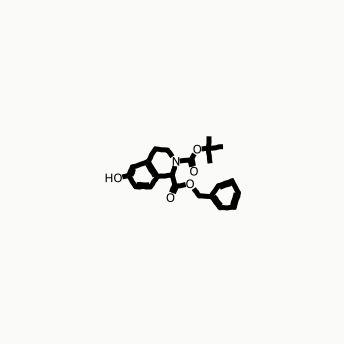 CC(C)(C)OC(=O)N1CCc2cc(O)ccc2C1C(=O)OCc1ccccc1